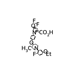 CCOc1ccc(F)c(N2CCC(Oc3ccc(N4C[C@H](OC(F)F)C[C@@H]4CC(=O)O)cc3)C(C)C2)c1